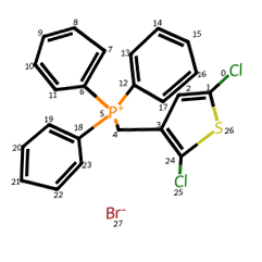 Clc1cc(C[P+](c2ccccc2)(c2ccccc2)c2ccccc2)c(Cl)s1.[Br-]